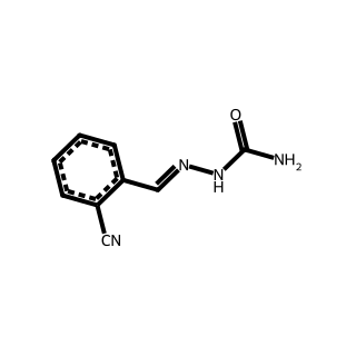 N#Cc1ccccc1C=NNC(N)=O